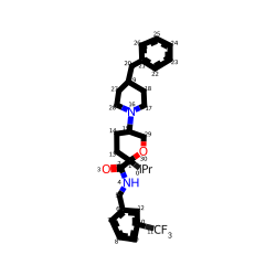 CC(C)C1(C(=O)NCc2cccc(C(F)(F)F)c2)CCC(N2CCC(Cc3ccccc3)CC2)CO1